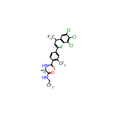 C[C@@H](NC(=S)c1ccc(/C(F)=C/C(c2cc(Cl)c(Cl)c(Cl)c2)C(F)(F)F)cc1C(F)(F)F)C(=O)NCC(F)(F)F